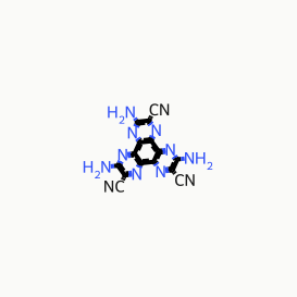 N#Cc1nc2c(nc1N)c1nc(N)c(C#N)nc1c1nc(C#N)c(N)nc21